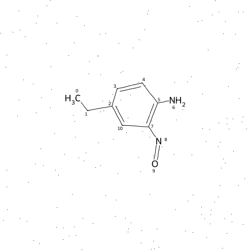 CCc1ccc(N)c(N=O)c1